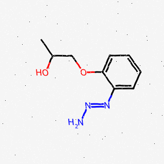 CC(O)COc1ccccc1N=NN